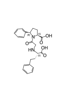 O=C(O)[C@H](CCc1ccccc1)NCC(=O)N1[C@@H](c2ccccc2)CC[C@H]1C(=O)O